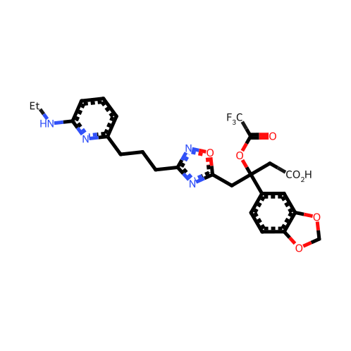 CCNc1cccc(CCCc2noc(CC(CC(=O)O)(OC(=O)C(F)(F)F)c3ccc4c(c3)OCO4)n2)n1